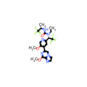 CCN(C(=O)N[C@@H](C)C(F)(F)F)[C@@H](c1cc(-c2cn3ccnc3c(OC)n2)c(OC)cn1)C(F)(F)F